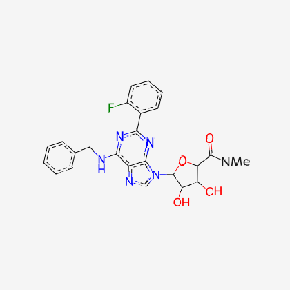 CNC(=O)C1OC(n2cnc3c(NCc4ccccc4)nc(-c4ccccc4F)nc32)C(O)C1O